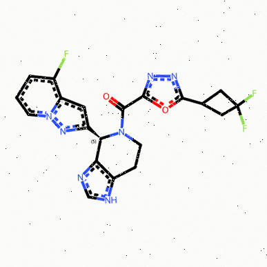 O=C(c1nnc(C2CC(F)(F)C2)o1)N1CCc2[nH]cnc2[C@H]1c1cc2c(F)cccn2n1